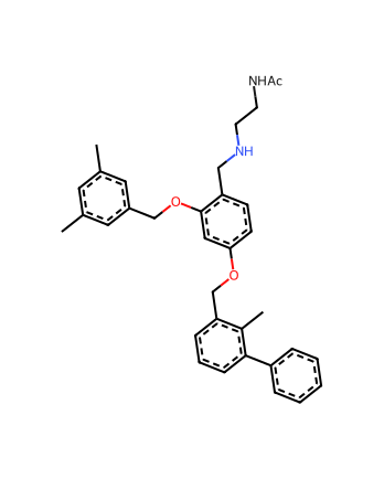 CC(=O)NCCNCc1ccc(OCc2cccc(-c3ccccc3)c2C)cc1OCc1cc(C)cc(C)c1